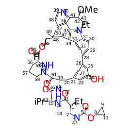 CC[C@@H](CN(C)C(=O)OC1CC1)C(=O)N(C)[C@H](C(=O)N[C@H]1Cc2cc(O)cc(c2)-c2ccc3c(c2)c(c(-c2cccnc2[C@H](C)OC)n3CC)CC(C)(C)COC(=O)[C@@H]2CCCN(N2)C1=O)C(C)C